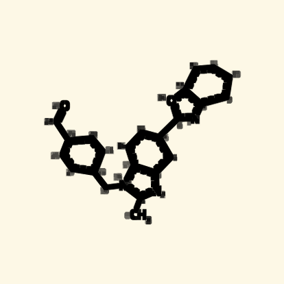 Cc1nc2cc(-c3nc4ccccc4o3)ccc2n1Cc1ccc(C=O)cc1